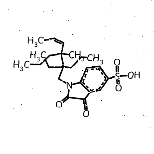 C/C=C\C(C)(CCC)C(CC)(CCC)CN1C(=O)C(=O)c2cc(S(=O)(=O)O)ccc21